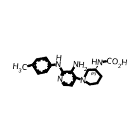 Cc1ccc(Nc2nccc(N3CCC[C@@H](NC(=O)O)C3)c2N)cc1